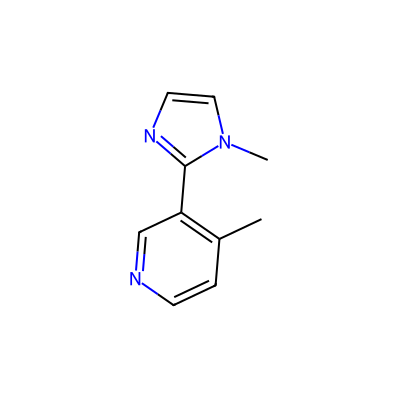 Cc1ccncc1-c1nccn1C